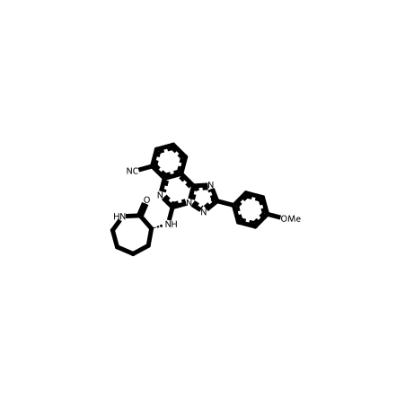 COc1ccc(-c2nc3c4cccc(C#N)c4nc(N[C@@H]4CCCCNC4=O)n3n2)cc1